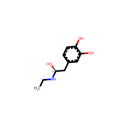 CCN[C@@H](O)Cc1ccc(O)c(O)c1